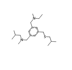 CCN(C)Cc1cc(CSCC(C)C)cc(CN(C)CC(C)C)c1